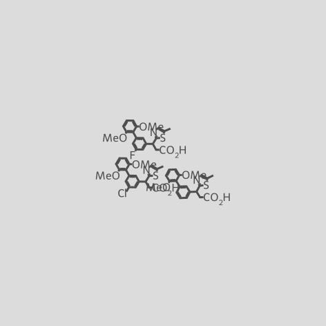 COc1cccc(OC)c1-c1cc(Cl)cc(C(CC(=O)O)c2ncc(C)s2)c1.COc1cccc(OC)c1-c1cc(F)cc(C(CC(=O)O)c2ncc(C)s2)c1.COc1cccc(OC)c1-c1cccc(C(CC(=O)O)c2ncc(C)s2)c1